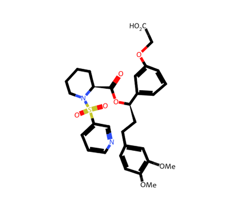 COc1ccc(CC[C@@H](OC(=O)[C@@H]2CCCCN2S(=O)(=O)c2cccnc2)c2cccc(OCC(=O)O)c2)cc1OC